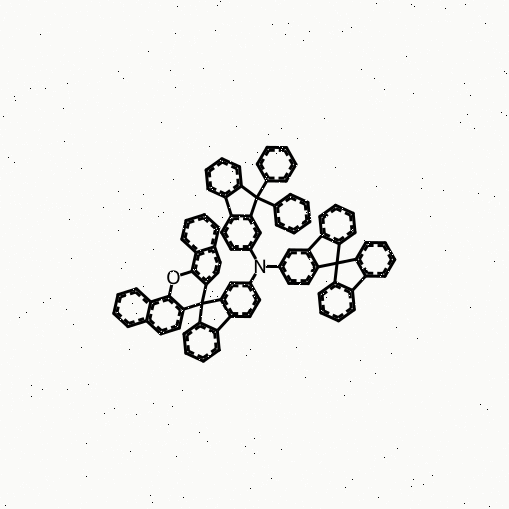 c1ccc(C2(c3ccccc3)c3ccccc3-c3ccc(N(c4ccc5c(c4)-c4ccccc4C54c5ccccc5-c5ccccc54)c4ccc5c(c4)C4(c6ccccc6-5)c5ccc6ccccc6c5Oc5c4ccc4ccccc54)cc32)cc1